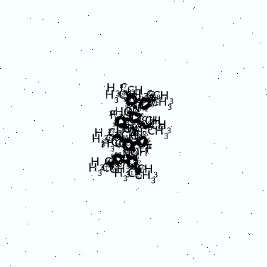 CC(C)(C)CC(C)(C)c1cc(-c2cc(F)cc(F)c2OCCOc2c(F)cc(F)cc2-c2cc(C(C)(C)CC(C)(C)C)cc(-n3c4ccc(C(C)(C)C)cc4c4cc(C(C)(C)C)ccc43)c2O)c(O)c(-n2c3ccc(C(C)(C)C)cc3c3cc(C(C)(C)C)ccc32)c1